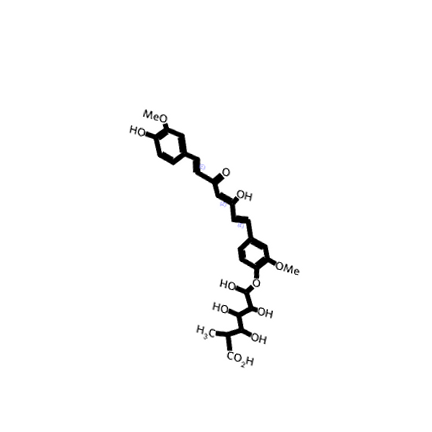 COc1cc(/C=C/C(=O)/C=C(O)/C=C/c2ccc(OC(O)C(O)C(O)C(O)C(C)C(=O)O)c(OC)c2)ccc1O